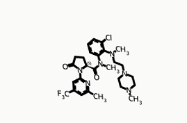 Cc1cc(C(F)(F)F)cc(N2C(=O)CC[C@H]2C(=O)N(C)c2cccc(Cl)c2N(C)CCN2CCN(C)CC2)n1